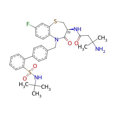 CC(C)(N)CC(=O)N[C@@H]1CSc2cc(F)ccc2N(Cc2ccc(-c3ccccc3S(=O)(=O)NC(C)(C)C)cc2)C1=O